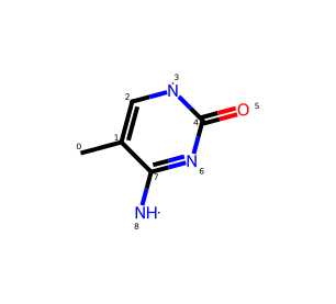 CC1=C[N]C(=O)N=C1[NH]